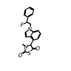 CN1C(=O)SC(=O)C1c1cccc2c1ccn2CC(F)c1ccccc1